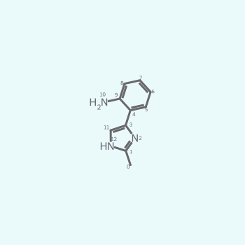 Cc1nc(-c2ccccc2N)c[nH]1